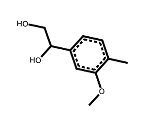 COc1cc(C(O)CO)ccc1C